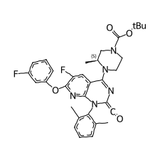 Cc1cccc(C)c1N1C(=C=O)N=C(N2CCN(C(=O)OC(C)(C)C)C[C@@H]2C)c2cc(F)c(Oc3cccc(F)c3)nc21